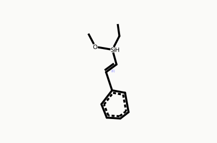 CC[SiH](/C=C/c1ccccc1)OC